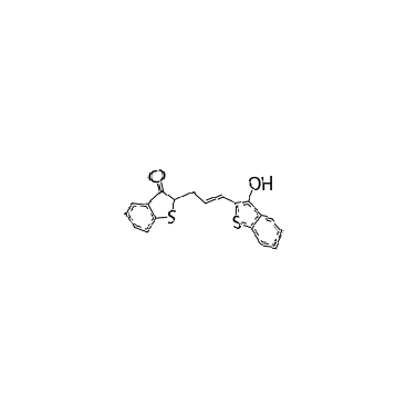 O=C1c2ccccc2SC1C/C=C/c1sc2ccccc2c1O